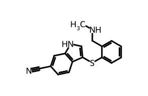 CNCc1ccccc1Sc1c[nH]c2cc(C#N)ccc12